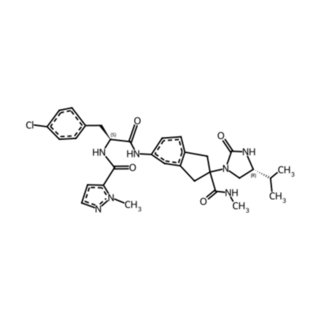 CNC(=O)C1(N2C[C@@H](C(C)C)NC2=O)Cc2ccc(NC(=O)[C@H](Cc3ccc(Cl)cc3)NC(=O)c3ccnn3C)cc2C1